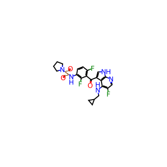 O=C(c1c(F)ccc(NS(=O)(=O)N2CCCC2)c1F)c1c[nH]c2ncc(F)c(NCC3CC3)c12